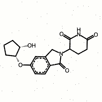 O=C1CCC(N2Cc3cc(O[C@@H]4CCC[C@@H]4O)ccc3C2=O)C(=O)N1